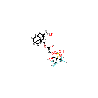 O=C(COC(=O)C(C(F)(F)F)(C(F)(F)F)S(=O)(=O)O)OCC12CC3CC(CC(CO)(C3)C1)C2